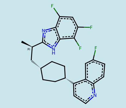 C[C@H](C[C@H]1CC[C@@H](c2ccnc3ccc(F)cc32)CC1)c1nc2c(F)cc(F)c(F)c2[nH]1